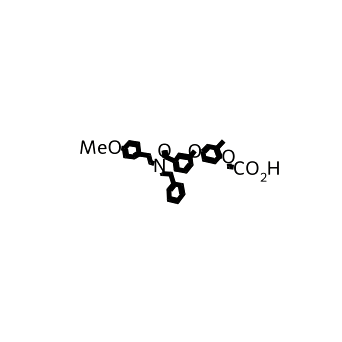 COc1ccc(CCN(CCc2ccccc2)C(=O)c2cccc(Oc3ccc(OCC(=O)O)c(C)c3)c2)cc1